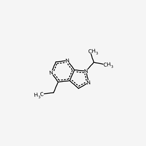 CCc1ncnc2c1cnn2C(C)C